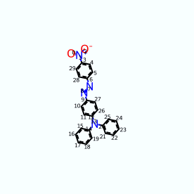 O=[N+]([O-])c1ccc(/N=N/c2ccc(N(c3ccccc3)c3ccccc3)cc2)cc1